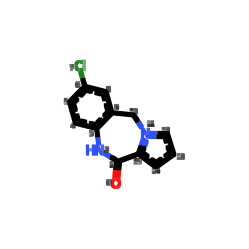 O=C1Nc2ccc(Cl)cc2Cn2cccc21